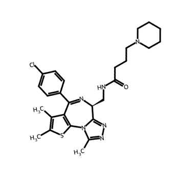 Cc1sc2c(c1C)C(c1ccc(Cl)cc1)=N[C@@H](CNC(=O)CCCN1CCCCC1)c1nnc(C)n1-2